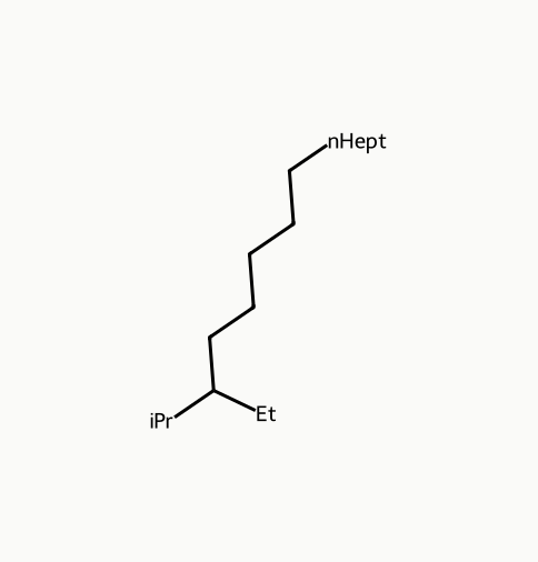 [CH2]C(C)C(CC)CCCCCCCCCCCC